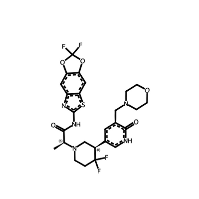 C[C@@H](C(=O)Nc1nc2cc3c(cc2s1)OC(F)(F)O3)N1CCC(F)(F)[C@H](c2c[nH]c(=O)c(CN3CCOCC3)c2)C1